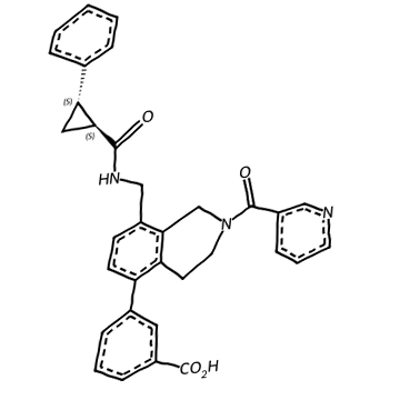 O=C(O)c1cccc(-c2ccc(CNC(=O)[C@H]3C[C@@H]3c3ccccc3)c3c2CCN(C(=O)c2cccnc2)C3)c1